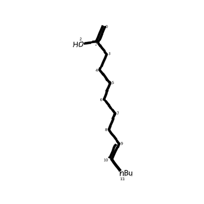 C=C(O)CCCCCC/C=C/CCCC